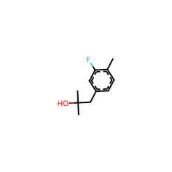 Cc1ccc(CC(C)(C)O)cc1F